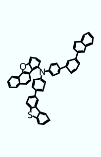 c1cc(-c2ccc(N(c3ccc(-c4ccc5sc6ccccc6c5c4)cc3)c3cccc4oc5c6ccccc6ccc5c34)cc2)cc(-c2ccc3ccccc3c2)c1